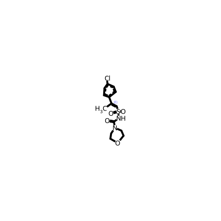 C/C(=C\S(=O)(=O)NC(=O)N1CCOCC1)c1ccc(Cl)cc1